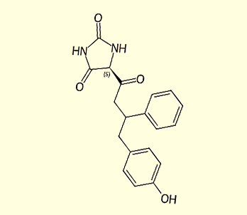 O=C1NC(=O)[C@H](C(=O)CC(Cc2ccc(O)cc2)c2ccccc2)N1